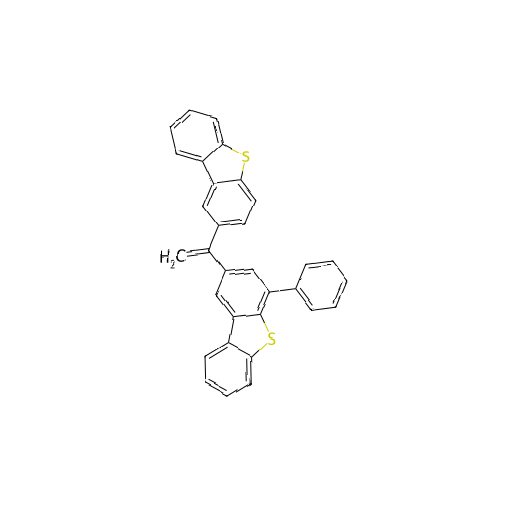 C=C(c1ccc2sc3ccccc3c2c1)c1cc(-c2ccccc2)c2sc3ccccc3c2c1